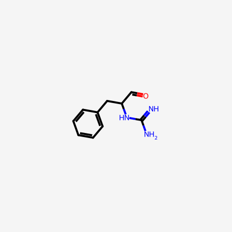 N=C(N)NC(C=O)Cc1ccccc1